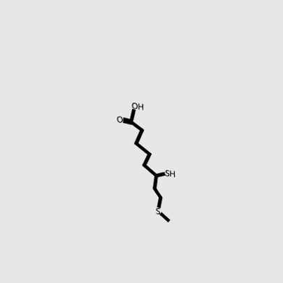 CSCCC(S)CCCCC(=O)O